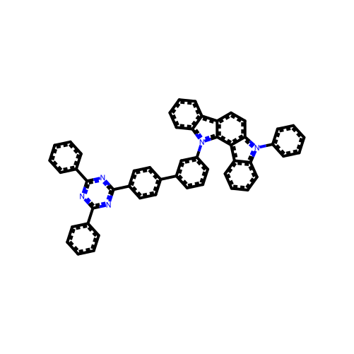 c1ccc(-c2nc(-c3ccccc3)nc(-c3ccc(-c4cccc(-n5c6ccccc6c6ccc7c(c8ccccc8n7-c7ccccc7)c65)c4)cc3)n2)cc1